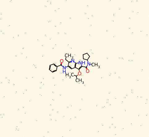 CCc1nc2[nH]c(C(=O)N(C)C3CCCC3)c(OC(C)C)c2cc1NC(=O)c1ccccc1